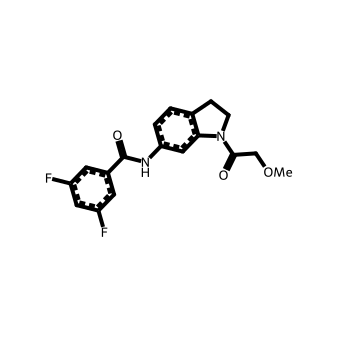 COCC(=O)N1CCc2ccc(NC(=O)c3cc(F)cc(F)c3)cc21